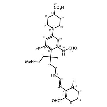 CNCCC(C)(CCN/C=N/C1=C(C=O)CCCN1C)c1c(F)cc(N2CCC(C(=O)O)CC2)cc1NC=O